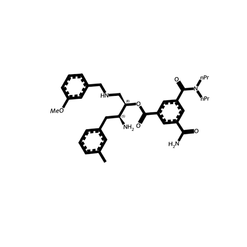 CCCN(CCC)C(=O)c1cc(C(N)=O)cc(C(=O)O[C@H](CNCc2cccc(OC)c2)[C@@H](N)Cc2cccc(C)c2)c1